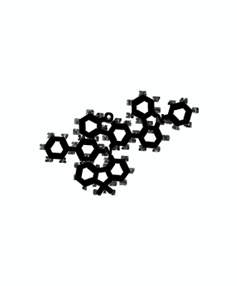 CC1(C)c2ccccc2-c2c(N(c3ccc(-c4ccccc4)cc3)c3cc(-c4cccc5c4c4ccccc4n5-c4ccccc4)cc4oc5ccccc5c34)cccc21